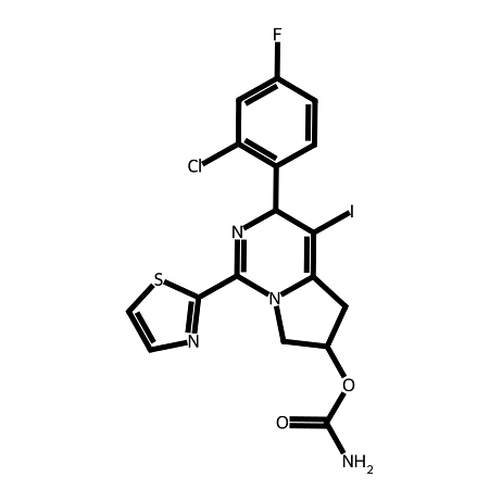 NC(=O)OC1CC2=C(I)C(c3ccc(F)cc3Cl)N=C(c3nccs3)N2C1